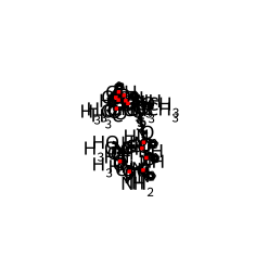 CO[C@H]1C(=O)[C@]2(C)[C@@H](OC)C[C@H]3OC[C@@]3(OC(C)=O)[C@H]2[C@H](OC(=O)c2ccccc2)[C@]2(O)C[C@H](OC(=O)[C@H](OOCCSSCCC(=O)N[C@H](Cc3ccccc3)C(=O)N[C@H]3CSSC[C@@H](C(=O)N[C@H](CO)[C@@H](C)O)NC(=O)[C@H]([C@@H](C)O)NC(=O)[C@H](CCCCN)NC(=O)[C@@H](Cc4c[nH]c5ccccc45)NC(=O)[C@H](Cc4ccccc4)NC3=O)[C@@H](NC(=O)OC(C)(C)C)c3ccccc3)C(C)=C1C2(C)C